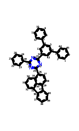 c1ccc(-c2cc(-c3ccccc3)cc(-c3nc(-c4ccccc4)nc(-c4ccc5c6c(cccc46)-c4ccccc4-5)n3)c2)cc1